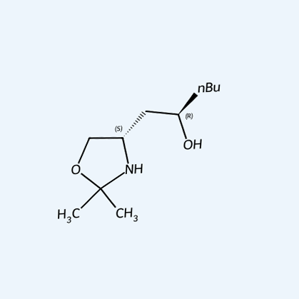 CCCC[C@@H](O)C[C@H]1COC(C)(C)N1